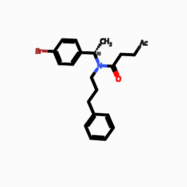 CC(=O)CCC(=O)N(CCCc1ccccc1)[C@@H](C)c1ccc(Br)cc1